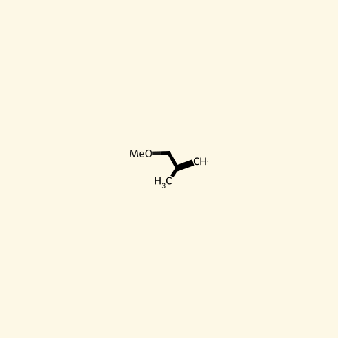 [CH]=C(C)COC